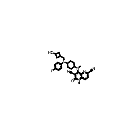 CN(c1c(C#N)c(=O)n(C)c2ccc(C#N)nc12)C1CCC(N(CC2CC(O)C2)c2ccc(F)cc2)CC1